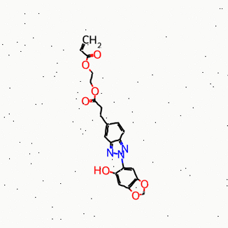 C=CC(=O)OCCOC(=O)CCc1ccc2nn(-c3cc4c(cc3O)OCO4)nc2c1